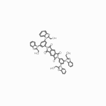 O=c1c2cc3c(=O)n(-c4cc(-n5c(CO)nc6ccccc65)cc(-n5c(CO)nc6ccccc65)c4)c(=O)c3cc2c(=O)n1-c1cc(-n2c(CO)nc3ccccc32)cc(-n2c(CO)nc3ccccc32)c1